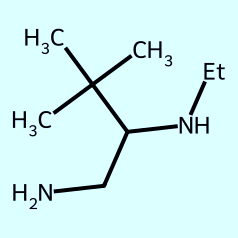 CCNC(CN)C(C)(C)C